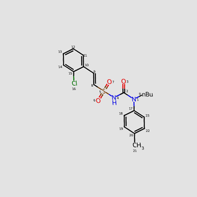 CCCCN(C(=O)NS(=O)(=O)C=Cc1ccccc1Cl)c1ccc(C)cc1